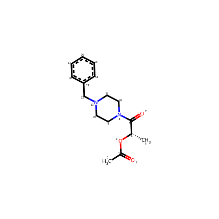 CC(=O)O[C@@H](C)C(=O)N1CCN(Cc2ccccc2)CC1